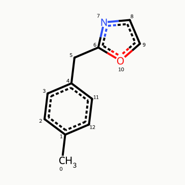 Cc1ccc(Cc2ncco2)cc1